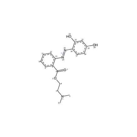 CN(C)CCOC(=O)c1ccccc1/N=N/c1ccc(O)cc1O